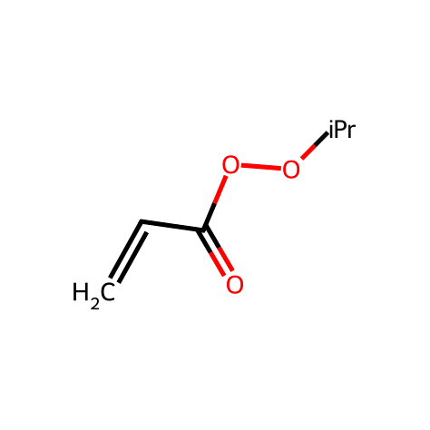 C=CC(=O)OOC(C)C